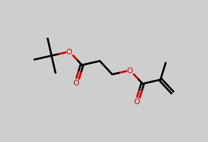 C=C(C)C(=O)OCCC(=O)OC(C)(C)C